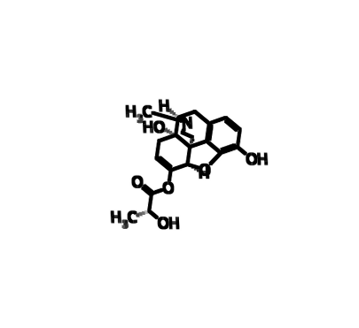 C[C@@H](O)C(=O)OC1=CC[C@@]2(O)[C@H]3Cc4ccc(O)c5c4[C@@]2(CCN3C)[C@H]1O5